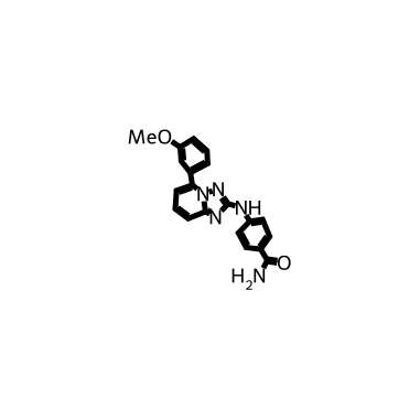 COc1cccc(-c2cccc3nc(Nc4ccc(C(N)=O)cc4)nn23)c1